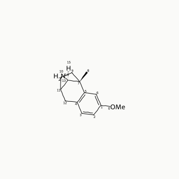 COc1ccc2c(c1)[C@@]1(C)CCC(C2)[C@H]1N